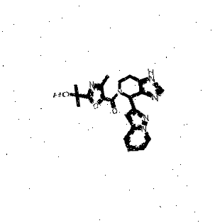 Cc1nc(C(C)(C)O)oc1C(=O)N1CCc2[nH]cnc2C1c1cc2ccccn2n1